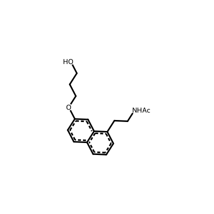 CC(=O)NCCc1cccc2ccc(OCCCO)cc12